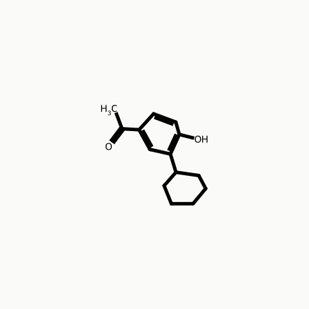 CC(=O)c1ccc(O)c(C2CCCCC2)c1